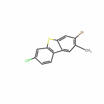 Cc1cc2c(cc1Br)sc1cc(Cl)ccc12